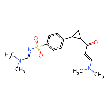 CN(C)C=CC(=O)C1CC1c1ccc(S(=O)(=O)N=CN(C)C)cc1